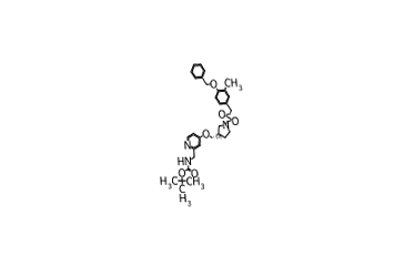 Cc1cc(CS(=O)(=O)N2CC[C@H](COc3ccnc(CNC(=O)OC(C)(C)C)c3)C2)ccc1OCc1ccccc1